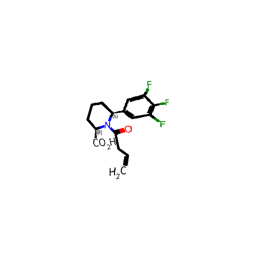 C=CCC(=O)N1[C@@H](C(=O)O)CCC[C@H]1c1cc(F)c(F)c(F)c1